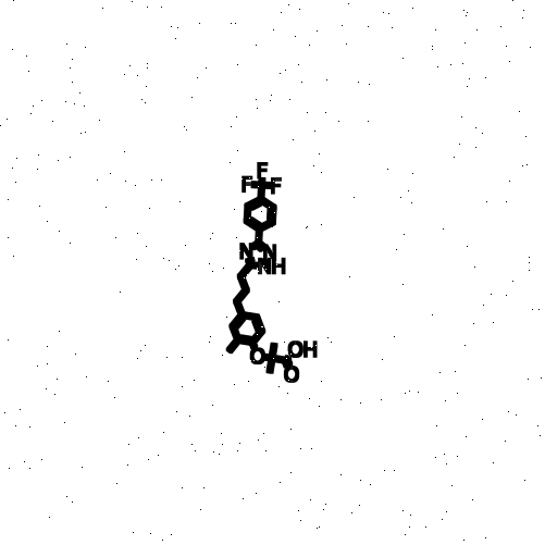 Cc1cc(CCCc2nc(-c3ccc(C(F)(F)F)cc3)n[nH]2)ccc1OC(C)(C)C(=O)O